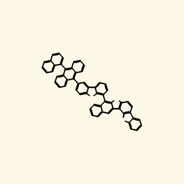 c1ccc2c(-c3c4ccccc4c(-c4ccc5sc6c(-c7c8ccccc8cc8c7oc7ccc9c%10ccccc%10sc9c78)cccc6c5c4)c4ccccc34)cccc2c1